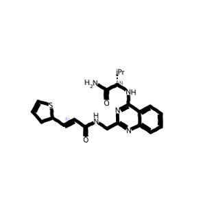 CC(C)[C@H](Nc1nc(CNC(=O)/C=C/C2CC=CS2)nc2ccccc12)C(N)=O